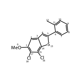 COc1cc2cc(-c3ccccc3C)sc2c(Cl)c1Cl